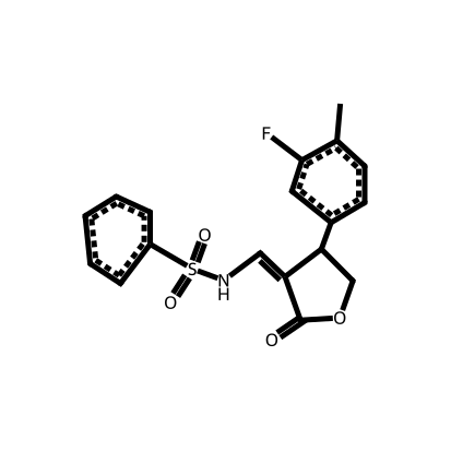 Cc1ccc(C2COC(=O)C2=CNS(=O)(=O)c2ccccc2)cc1F